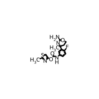 Cc1nc(OC(=O)Nc2ccc(F)c([C@]3(C)CCOC(N)=N3)c2)cs1